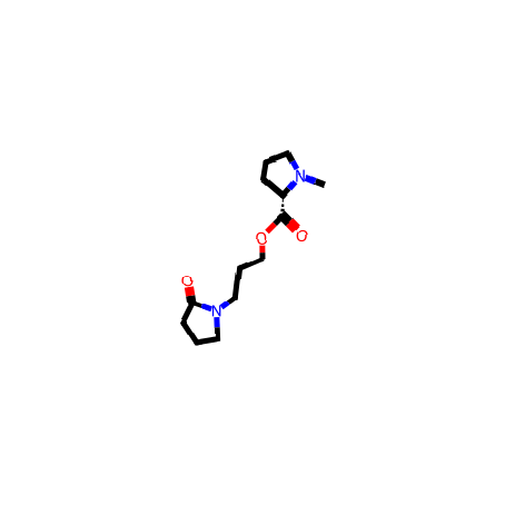 CN1CCC[C@H]1C(=O)OCCCN1CCCC1=O